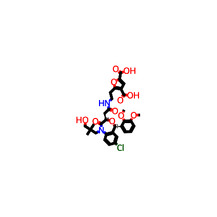 COc1cccc([C@H]2O[C@H](CC(=O)NCCc3oc(C(=O)O)cc3C(=O)O)C(=O)N(CC(C)(C)CO)c3ccc(Cl)cc32)c1OC